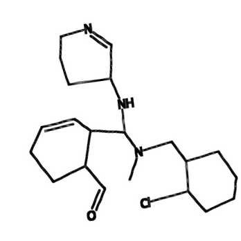 CN(CC1CCCCC1Cl)C(NC1C=NCCC1)C1C=CCCC1C=O